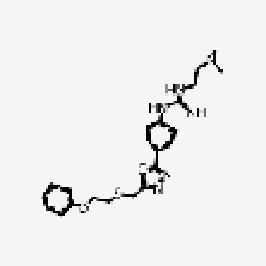 CN(C)CCNC(=N)Nc1ccc(-c2nnc(CSCCOc3ccccc3)o2)cc1